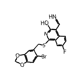 N=Cc1c(O)nc(SCc2cc3c(cc2Br)OCO3)c2cc(F)ccc12